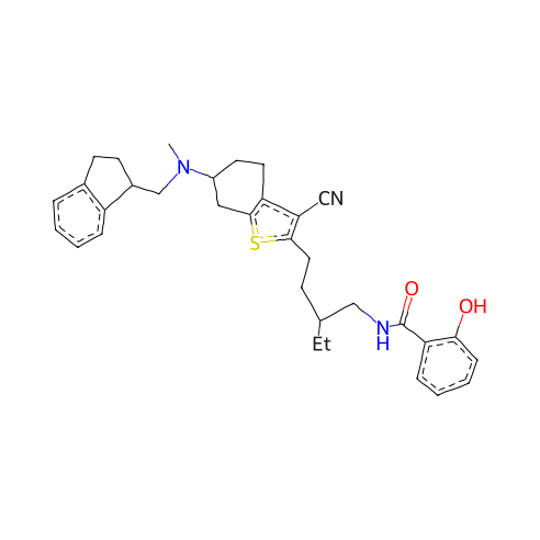 CCC(CCc1sc2c(c1C#N)CCC(N(C)CC1CCc3ccccc31)C2)CNC(=O)c1ccccc1O